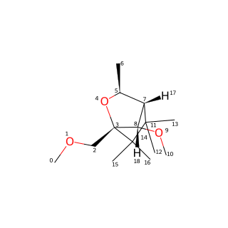 COC[C@@]12O[C@@H](C)[C@@H]([C@@H]1OC)C(C)(C)C2(C)C